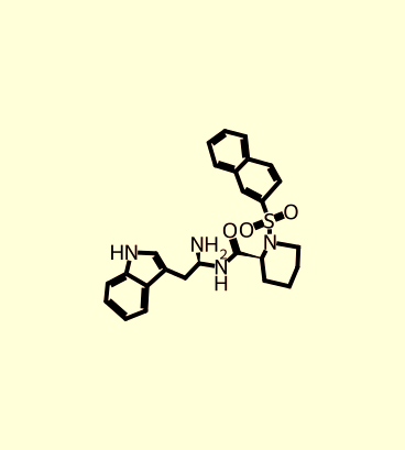 N[C@H](Cc1c[nH]c2ccccc12)NC(=O)[C@@H]1CCCCN1S(=O)(=O)c1ccc2ccccc2c1